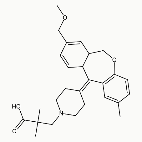 COCC1=CC2COc3ccc(C)cc3C(=C3CCN(CC(C)(C)C(=O)O)CC3)C2C=C1